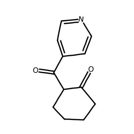 O=C1CCCCC1C(=O)c1ccncc1